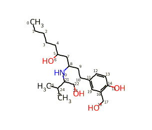 CCCCCC(O)CC(CCc1ccc(O)c(CO)c1)NC(CO)C(C)C